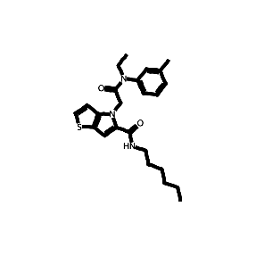 CCCCCCNC(=O)c1cc2sccc2n1CC(=O)N(CC)c1cccc(C)c1